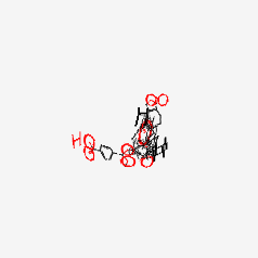 COC(O[C@@H]1[C@@]2(C(C)C)O[C@H]2[C@@H]2C[C@@]23[C@@]2(C)CCC4=C(COC4=O)[C@@H]2C2C[C@@]13O2)c1ccc(C(=O)O)cc1